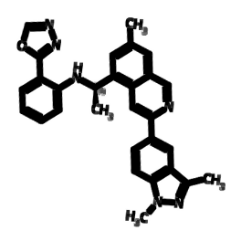 Cc1cc([C@@H](C)Nc2ccccc2-c2nnco2)c2cc(-c3ccc4c(c3)c(C)nn4C)ncc2c1